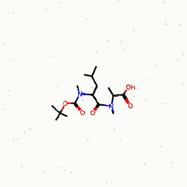 CC(C)CC(C(=O)N(C)C(C)C(=O)O)N(C)C(=O)OC(C)(C)C